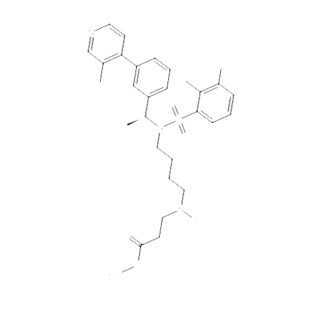 CC(=O)N(CCCCN([C@@H](C)c1cccc(-c2ccncc2C)c1)S(=O)(=O)c1cccc(Cl)c1C)CCC(=O)OC(C)(C)C